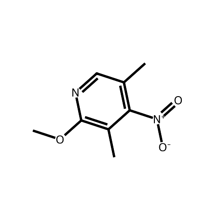 COc1ncc(C)c([N+](=O)[O-])c1C